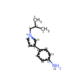 C[C](C)Cn1ccc(-c2ccc(N)cc2)c1